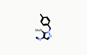 C=Nc1cnn(Cc2ccc(C)cc2)c1NC